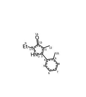 CCn1[nH]c(-c2ccccc2C)c(C)c1=O